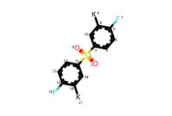 O=S(=O)(c1ccc(F)[c]([K])c1)c1ccc(F)[c]([K])c1